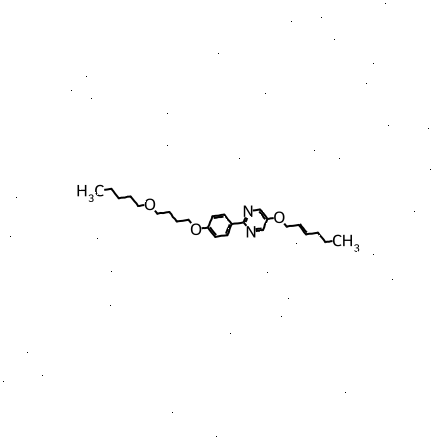 CCCC=CCOc1cnc(-c2ccc(OCCCCOCCCCC)cc2)nc1